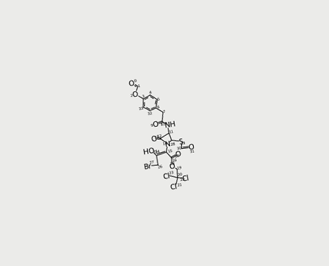 O=COc1ccc(CC(=O)NC2C(=O)N(C(C(=O)OCC(Cl)(Cl)Cl)=C(O)CBr)C2SC=O)cc1